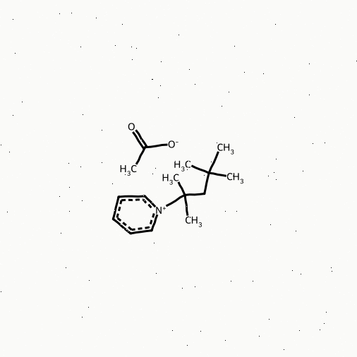 CC(=O)[O-].CC(C)(C)CC(C)(C)[n+]1ccccc1